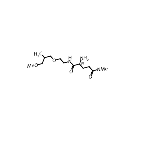 CNC(=O)CC[C@H](N)C(=O)NCCOCC(C)COC